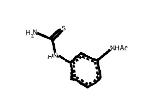 CC(=O)Nc1cccc(NC(N)=S)c1